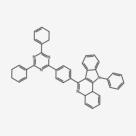 C1=CCCC(c2nc(C3=CCCC=C3)nc(-c3ccc(C4=NC5C=CC=CC5c5c4c4ccccc4n5-c4ccccc4)cc3)n2)=C1